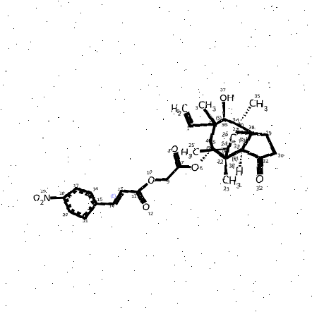 C=CC1(C)C[C@@H](OC(=O)COC(=O)/C=C/c2ccc([N+](=O)[O-])cc2)[C@]2(C)[C@H](C)CCC3(CCC(=O)[C@H]32)[C@@H](C)[C@@H]1O